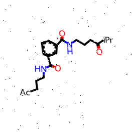 CC(=O)CCCNC(=O)c1cccc(C(=O)NCCCC(=O)C(C)C)c1